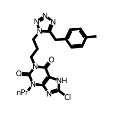 CCCn1c(=O)n(CCCn2nnnc2Cc2ccc(C)cc2)c(=O)c2[nH]c(Cl)nc21